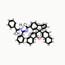 C=C(/N=C(\N=C(/C)c1ccccc1)c1ccccc1)c1ccc2c(c1)C1(c3c#cc4ccccc4c3Oc3c1ccc1ccccc31)c1ccccc1-2